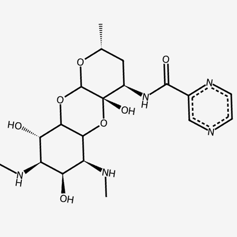 CN[C@@H]1[C@H](O)[C@H](NC)C2O[C@]3(O)C(OC2[C@H]1O)O[C@H](C)C[C@H]3NC(=O)c1cnccn1